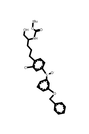 CC(C)(C)OC(=O)NC(CO)CCCc1ccc([S+]([O-])c2cccc(OCc3ccccc3)c2)cc1Cl